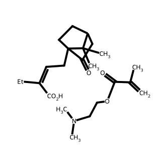 C=C(C)C(=O)OCCN(C)C.CCC(=CCC12CCC(CC1=O)C2(C)C)C(=O)O